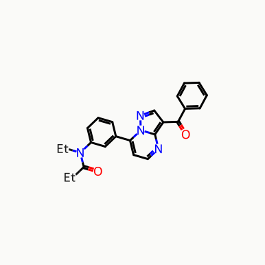 CCC(=O)N(CC)c1cccc(-c2ccnc3c(C(=O)c4ccccc4)cnn23)c1